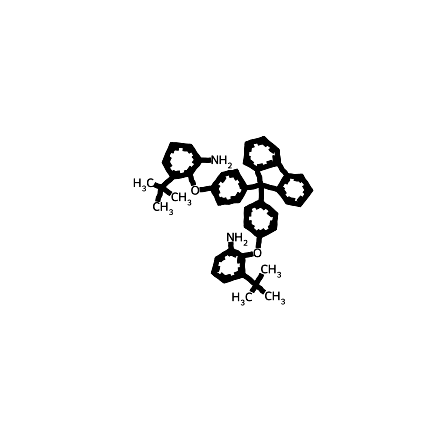 CC(C)(C)c1cccc(N)c1Oc1ccc(C2(c3ccc(Oc4c(N)cccc4C(C)(C)C)cc3)c3ccccc3-c3ccccc32)cc1